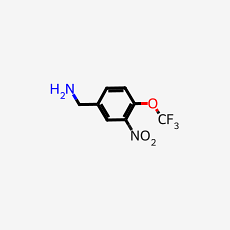 NCc1ccc(OC(F)(F)F)c([N+](=O)[O-])c1